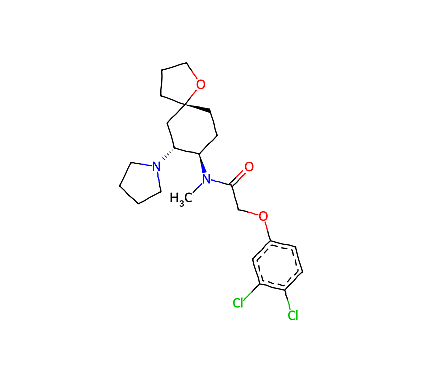 CN(C(=O)COc1ccc(Cl)c(Cl)c1)[C@@H]1CC[C@]2(CCCO2)C[C@H]1N1CCCC1